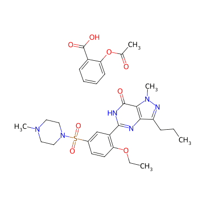 CC(=O)Oc1ccccc1C(=O)O.CCCc1nn(C)c2c(=O)[nH]c(-c3cc(S(=O)(=O)N4CCN(C)CC4)ccc3OCC)nc12